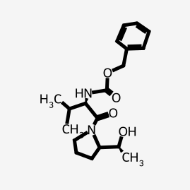 CC(C)[C@@H](NC(=O)OCc1ccccc1)C(=O)N1CCCC1[C@H](C)O